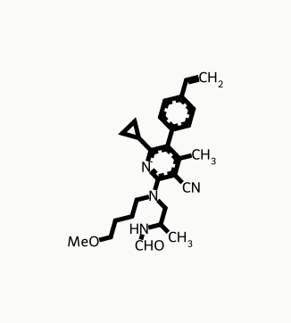 C=Cc1ccc(-c2c(C3CC3)nc(N(CCCCOC)CC(C)NC=O)c(C#N)c2C)cc1